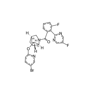 O=C(c1cccc(F)c1-c1ncc(F)cn1)N1C[C@@H]2CC[C@H]1[C@H](Oc1ccc(Br)cn1)C2